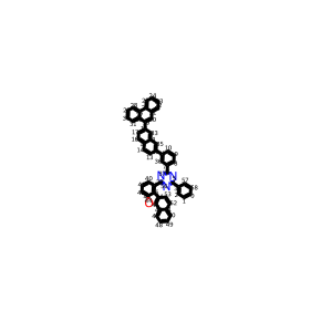 c1ccc(-c2nc(-c3cccc(-c4ccc5ccc(-c6cc7ccccc7c7ccccc67)cc5c4)c3)nc(-c3cccc4oc5c6ccccc6ccc5c34)n2)cc1